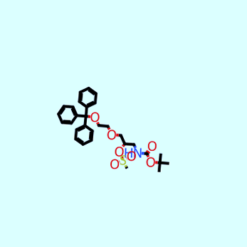 CC(C)(C)OC(=O)NCC(COCCOC(c1ccccc1)(c1ccccc1)c1ccccc1)OS(C)(=O)=O